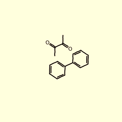 CC(=O)C(C)=O.c1ccc(-c2ccccc2)cc1